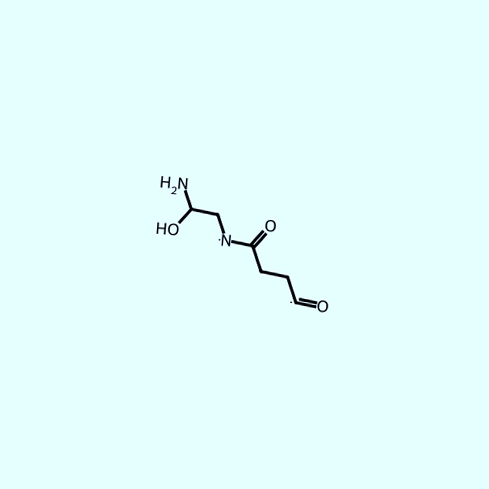 NC(O)C[N]C(=O)CC[C]=O